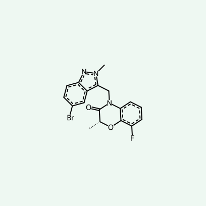 C[C@H]1Oc2c(F)cccc2N(Cc2c3cc(Br)ccc3nn2C)C1=O